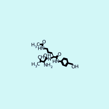 CC(=O)NCCC[C@H](NC(=O)[C@@H](N)C(C)C)C(=O)Nc1ccc(CO)cc1